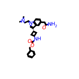 CN(C)CC=[N+]1C=C([C@H]2C[C@H](NC(=O)OCc3ccccc3)C2)c2cc(CC(N)=O)ccc21